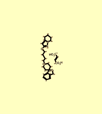 O=C(O)C=CC(=O)O.c1ccc2c(c1)COC21CCN(CCCCOc2cc3n(n2)CCCC3)CC1